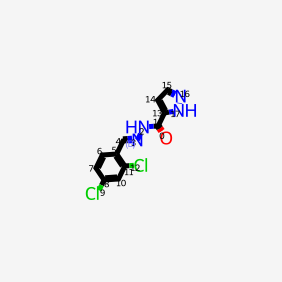 O=C(N/N=C/c1ccc(Cl)cc1Cl)c1ccn[nH]1